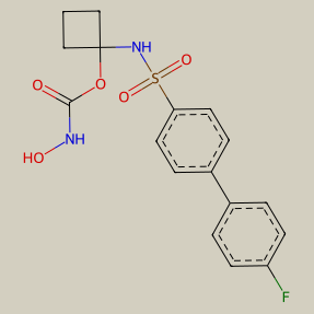 O=C(NO)OC1(NS(=O)(=O)c2ccc(-c3ccc(F)cc3)cc2)CCC1